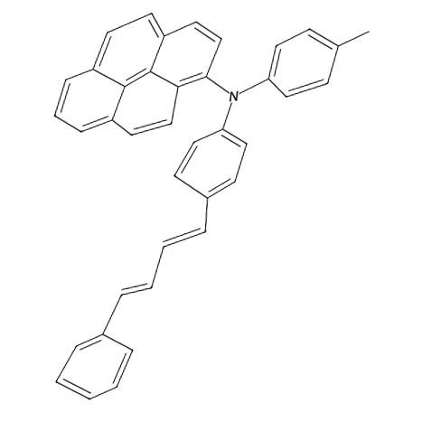 Cc1ccc(N(c2ccc(C=CC=Cc3ccccc3)cc2)c2ccc3ccc4cccc5ccc2c3c45)cc1